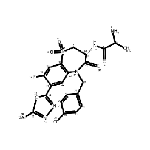 CC(N)C(=O)N[C@H]1CS(=O)(=O)c2cc(F)c(-c3nnc(C(C)(C)C)o3)cc2N(Cc2ccc(Cl)cc2)C1=O